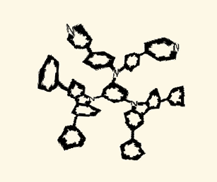 c1ccc(-c2ccc3c(c2)c2cc(-c4ccccc4)ccc2n3-c2cc(N(c3ccc(-c4ccncc4)cc3)c3ccc(-c4ccncc4)cc3)cc(-n3c4ccc(-c5ccccc5)cc4c4cc(-c5ccccc5)ccc43)c2)cc1